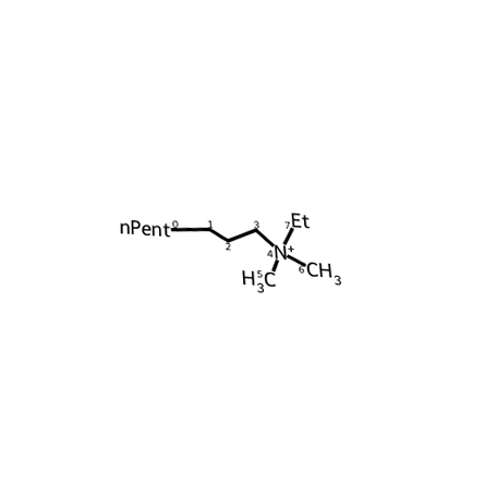 CCCCCCCC[N+](C)(C)CC